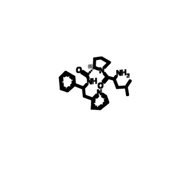 CC(C)CC(N)C(=O)N1CCC[C@H]1C(=O)NC(Cc1ccccn1)c1ccccc1